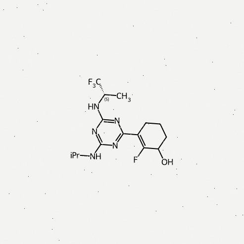 CC(C)Nc1nc(N[C@@H](C)C(F)(F)F)nc(C2=C(F)C(O)CCC2)n1